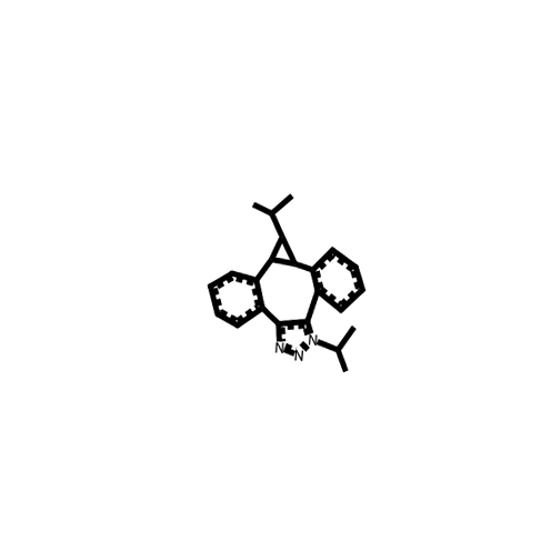 CC(C)C1C2c3ccccc3-c3nnn(C(C)C)c3-c3ccccc3C21